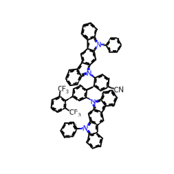 N#Cc1ccc(-n2c3ccccc3c3cc4c5ccccc5n(-c5ccccc5)c4cc32)c(-c2ccc(-c3c(C(F)(F)F)cccc3C(F)(F)F)cc2-n2c3ccccc3c3cc4c5ccccc5n(-c5ccccc5)c4cc32)c1